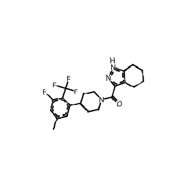 Cc1cc(F)c(C(F)(F)F)c(C2CCN(C(=O)c3n[nH]c4c3CCCC4)CC2)c1